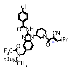 CC(C)/C=C(\C#N)C(=O)N1CCCC(n2c(NC(=O)c3ccc(Cl)cc3)nc3cc(CN(C(=O)C(F)(F)F)[C@@H](C)C(C)(C)C)ccc32)C1